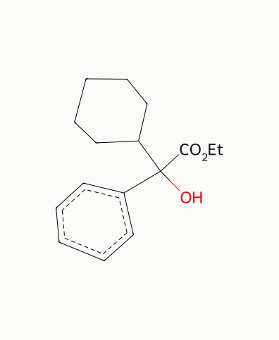 CCOC(=O)C(O)(c1ccccc1)C1CCCCC1